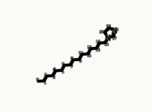 CCCCCCCCCCCCCCCCN1C=NCC1